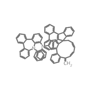 C=C1/C=C\C=C/CC2(c3ccc(N(c4ccccc4)c4cccc5c4N(c4ccccc4)c4ccccc4-c4ccccc4-5)cc3-c3ccccc31)c1ccccc1-c1c2c2ccccc2c2ccccc12